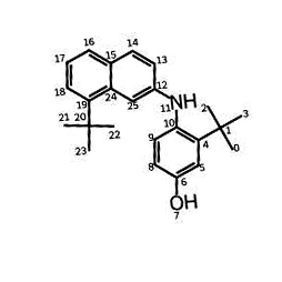 CC(C)(C)c1cc(O)ccc1Nc1ccc2cccc(C(C)(C)C)c2c1